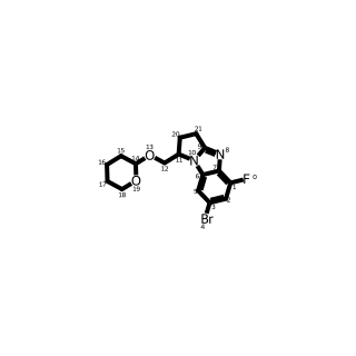 Fc1cc(Br)cc2c1nc1n2C(COC2CCCCO2)CC1